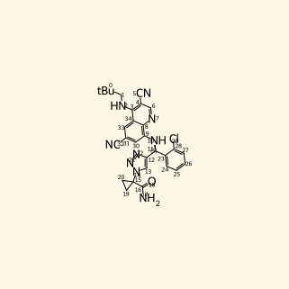 CC(C)(C)CNc1c(C#N)cnc2c(N[C@H](c3cn(C4(C(N)=O)CC4)nn3)c3ccccc3Cl)cc(C#N)cc12